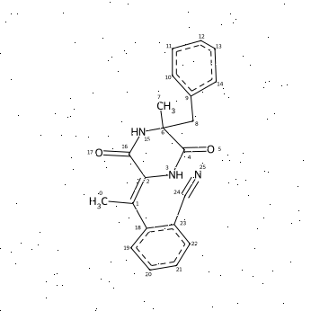 CC(=C1NC(=O)C(C)(Cc2ccccc2)NC1=O)c1ccccc1C#N